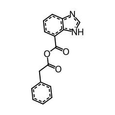 O=C(Cc1ccccc1)OC(=O)c1cccc2nc[nH]c12